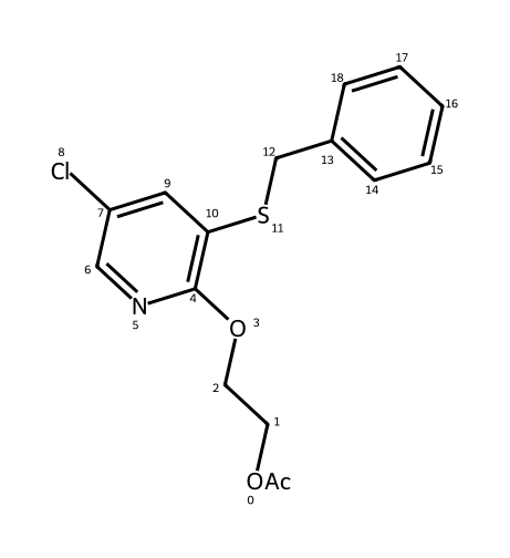 CC(=O)OCCOc1ncc(Cl)cc1SCc1ccccc1